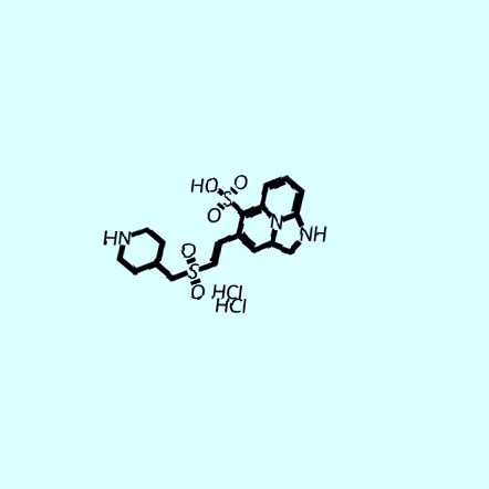 Cl.Cl.O=S(=O)(/C=C/C1=CC2CNC3=CC=CC(=C1S(=O)(=O)O)N32)CC1CCNCC1